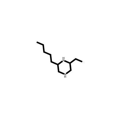 [CH2]CC1CNCC(CCCCC)N1